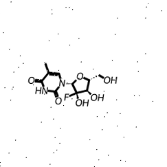 Cc1cn([C@@H]2O[C@H](CO)[C@@H](O)[C@]2(O)F)c(=O)[nH]c1=O